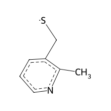 Cc1ncccc1C[S]